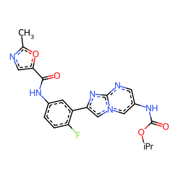 Cc1ncc(C(=O)Nc2ccc(F)c(-c3cn4cc(NC(=O)OC(C)C)cnc4n3)c2)o1